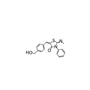 CN=C1SC(=Cc2ccc(CO)cc2)C(=O)N1c1ccccc1